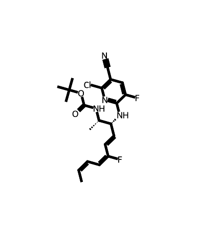 C\C=C/C=C(F)\C=C\[C@@H](Nc1nc(Cl)c(C#N)cc1F)[C@H](C)NC(=O)OC(C)(C)C